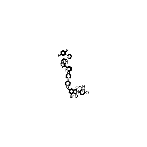 O=C1CCC(N2C(=O)c3cc(CN4CCC(N5CCN(c6cccc(-c7cnn8ccc(N9CCC[C@@H]9c9cc(F)ccc9F)nc78)n6)CC5)CC4)cc(Br)c3C2=O)C(=O)N1